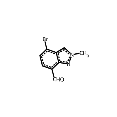 Cn1cc2c(Br)ccc(C=O)c2n1